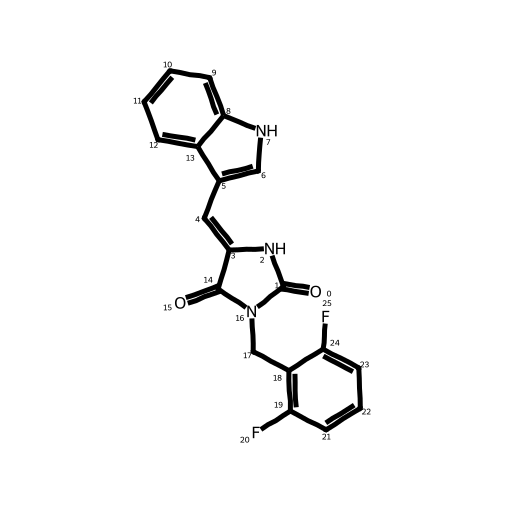 O=C1N/C(=C\c2c[nH]c3ccccc23)C(=O)N1Cc1c(F)cccc1F